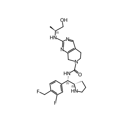 C[C@@H](CO)Nc1ncc2c(n1)CN(C(=O)N[C@@H](c1ccc(CF)c(F)c1)[C@@H]1CCCN1)CC2